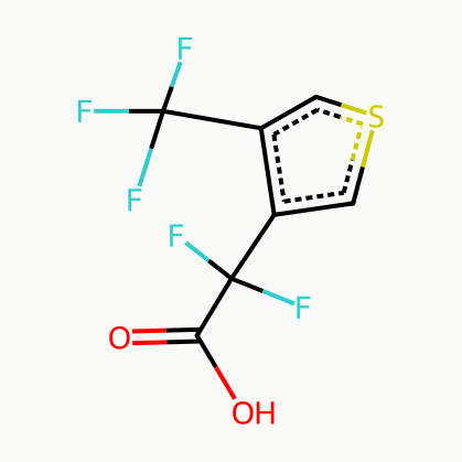 O=C(O)C(F)(F)c1cscc1C(F)(F)F